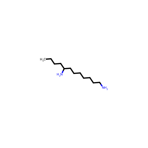 CCCCC(N)CCCCCCCN